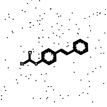 CCC(Cl)Oc1ccc(/C=C/c2ccccc2)cc1